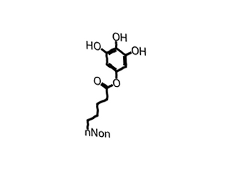 CCCCCCCCCCCCCC(=O)Oc1cc(O)c(O)c(O)c1